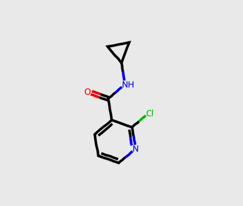 O=C(NC1CC1)c1cccnc1Cl